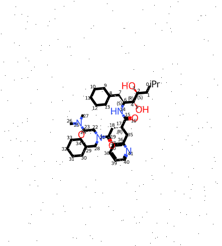 CC(C)C[C@H](O)[C@H](O)[C@H](CC1CCCCC1)NC(=O)[C@@H](CC(=O)N(CC(=O)N(C)C)CC1CCCCC1)Cc1ccccn1